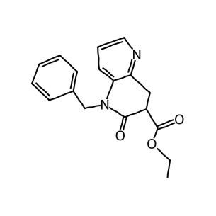 CCOC(=O)C1Cc2ncccc2N(Cc2ccccc2)C1=O